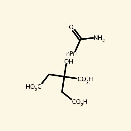 CCCC(N)=O.O=C(O)CC(O)(CC(=O)O)C(=O)O